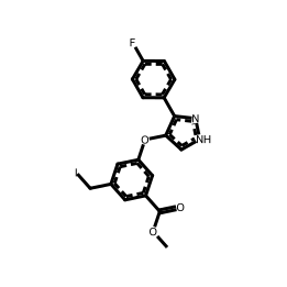 COC(=O)c1cc(CI)cc(Oc2c[nH]nc2-c2ccc(F)cc2)c1